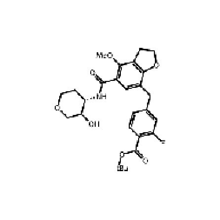 COc1c(C(=O)N[C@H]2CCOC[C@@H]2O)cc(Cc2ccc(C(=O)OC(C)(C)C)c(F)c2)c2c1CCO2